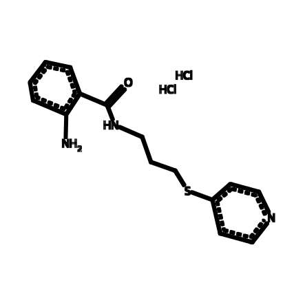 Cl.Cl.Nc1ccccc1C(=O)NCCCSc1ccncc1